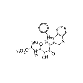 CC[C@H](C)[C@H](NC(=O)C(C#N)C(=O)c1nn(-c2ccccc2)c2c1CSc1ccccc1-2)C(=O)O